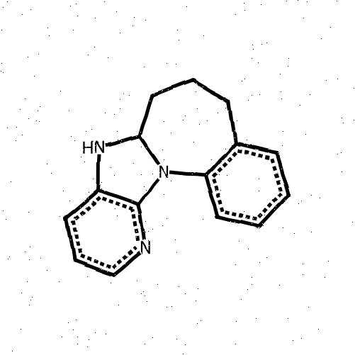 c1ccc2c(c1)CCCC1Nc3cccnc3N21